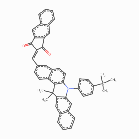 CC1(C)c2cc3ccccc3cc2N(c2ccc([Si](C)(C)C)cc2)c2ccc3cc(C=C4C(=O)c5cc6ccccc6cc5C4=O)ccc3c21